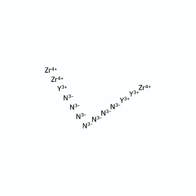 [N-3].[N-3].[N-3].[N-3].[N-3].[N-3].[N-3].[Y+3].[Y+3].[Y+3].[Zr+4].[Zr+4].[Zr+4]